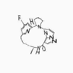 C[C@H]1CCCc2cc(F)cc(n2)[C@H]2CCCN2c2ccn3ncc(c3n2)C(=O)N1